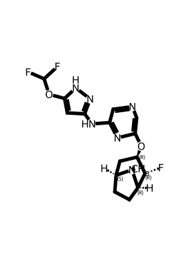 CN1[C@H]2CC[C@@H]1[C@@H](F)[C@H](Oc1cncc(Nc3cc(OC(F)F)[nH]n3)n1)C2